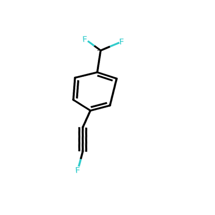 FC#Cc1ccc([C](F)F)cc1